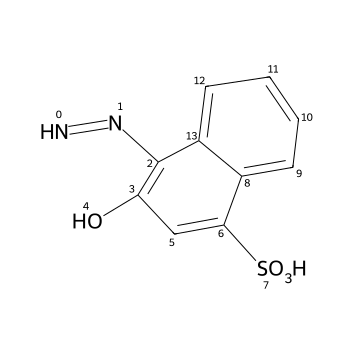 N=Nc1c(O)cc(S(=O)(=O)O)c2ccccc12